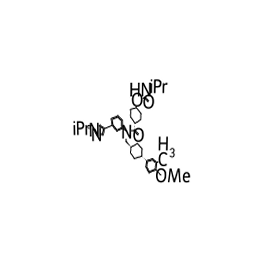 COc1ccc([C@H]2CC[C@H](CN(c3cccc(-c4cnn(C(C)C)c4)c3)C(=O)[C@H]3CC[C@H](OC(=O)NC(C)C)CC3)CC2)cc1C